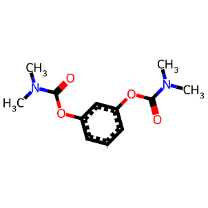 CN(C)C(=O)Oc1c[c]cc(OC(=O)N(C)C)c1